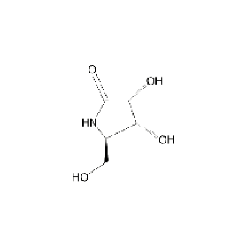 O=C1N[C@H](CO)[C@@H](O)[C@H]1O